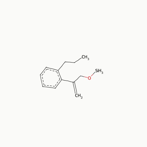 C=C(CO[SiH3])c1ccccc1CCC